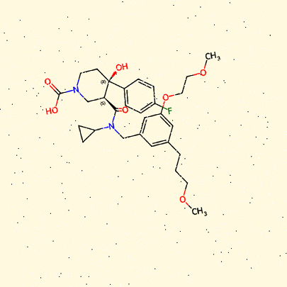 COCCCc1cc(CN(C(=O)[C@H]2CN(C(=O)O)CC[C@]2(O)c2ccc(F)cc2)C2CC2)cc(OCCOC)c1